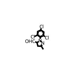 CC1=NN(c2c(Cl)cc(Cl)cc2Cl)C(C=O)C1